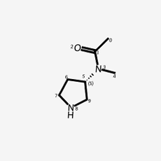 CC(=O)N(C)[C@H]1CCNC1